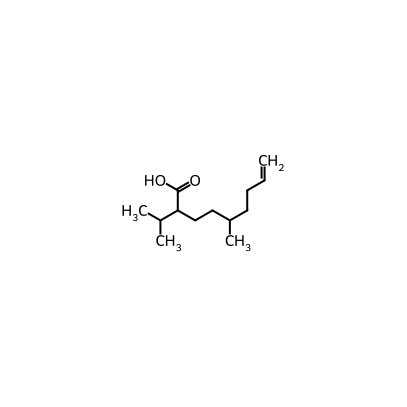 C=CCCC(C)CCC(C(=O)O)C(C)C